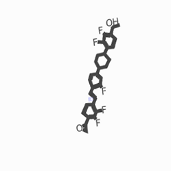 CC(O)c1ccc(C2CCC(c3ccc(/C=C/c4ccc(C5CO5)c(F)c4F)c(F)c3)CC2)c(F)c1F